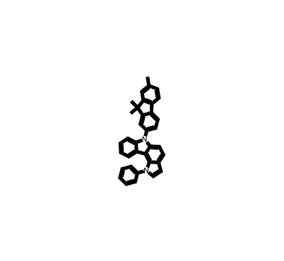 Cc1ccc2c(c1)C(C)(C)c1cc(-n3c4ccccc4c4c5c(ccc43)ccn5-c3ccccc3)ccc1-2